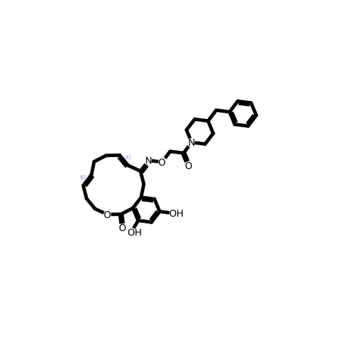 O=C1OCC/C=C/CC/C=C/C(=NOCC(=O)N2CCC(Cc3ccccc3)CC2)Cc2cc(O)cc(O)c21